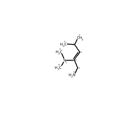 CC(C)/C=C(/CN)N(C)C